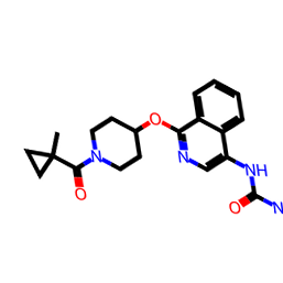 CC1(C(=O)N2CCC(Oc3ncc(NC(N)=O)c4ccccc34)CC2)CC1